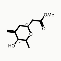 C=C1C[C@@H](CC(=O)OC)OC(C)[C@H]1O